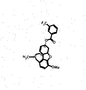 COc1ccc2c3c1OC1C[C@@H](OC(=O)c4cccc(C(F)(F)F)c4)C=C[C@@]31CCN(C)C2